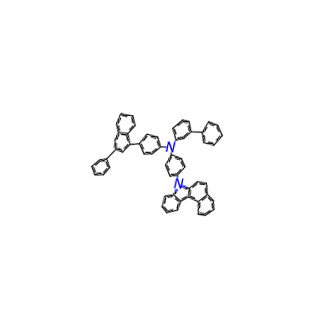 c1ccc(-c2cccc(N(c3ccc(-c4cc(-c5ccccc5)cc5ccccc45)cc3)c3ccc(-n4c5ccccc5c5c6ccccc6ccc54)cc3)c2)cc1